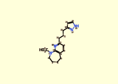 O=C(O)N1CCCCc2ccc(CCCc3cc[nH]n3)nc21